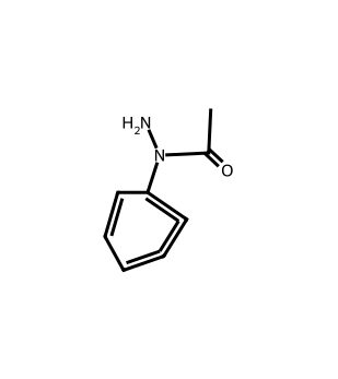 CC(=O)N(N)C1=C=C=CC=C1